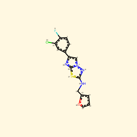 Fc1ccc(-c2cn3nc(NCc4ccco4)sc3n2)cc1Cl